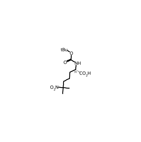 CC(C)(C)OC(=O)N[C@@H](CCCC(C)(C)[N+](=O)[O-])C(=O)O